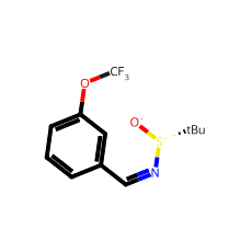 CC(C)(C)[S@@+]([O-])/N=C\c1cccc(OC(F)(F)F)c1